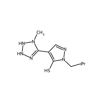 CC(C)Cn1ncc(C2=NNNN2C)c1S